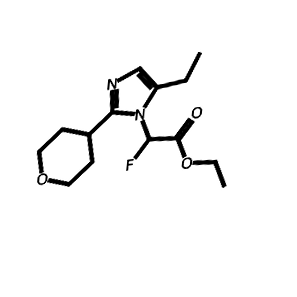 CCOC(=O)C(F)n1c(CC)cnc1C1CCOCC1